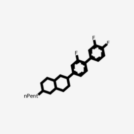 CCCCCC1CCC2CC(c3ccc(-c4ccc(F)c(F)c4)c(F)c3)CCC2C1